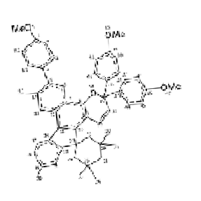 COc1ccc(-c2cc3c4c(c5c(c3cc2C)-c2ccc(C)cc2C52CC(C)(C)CC(C)(C)C2)C=CC(c2ccc(OC)cc2)(c2ccc(OC)cc2)O4)cc1